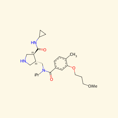 COCCCOc1cc(C(=O)N(C[C@@H]2CNC[C@H]2C(=O)NC2CC2)C(C)C)ccc1C